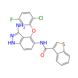 Nc1n[nH]c2ccc(NC(=O)c3csc4ccccc34)c(Oc3cc(F)ccc3Cl)c12